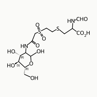 O=CNC(CSCCS(=O)(=O)CC(=O)NC1C(O)O[C@H](CO)[C@@H](O)[C@@H]1O)C(=O)O